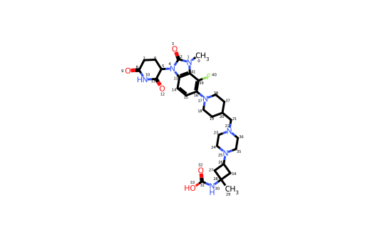 Cn1c(=O)n(C2CCC(=O)NC2=O)c2ccc(N3CCC(CN4CCN(C5CC(C)(NC(=O)O)C5)CC4)CC3)c(F)c21